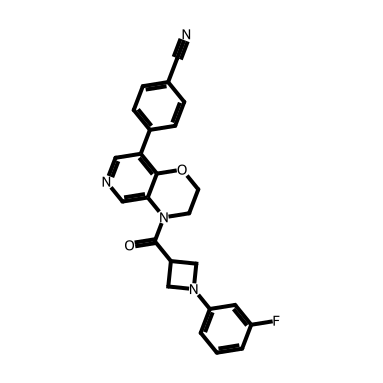 N#Cc1ccc(-c2cncc3c2OCCN3C(=O)C2CN(c3cccc(F)c3)C2)cc1